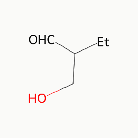 [CH2]CC(C=O)CO